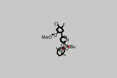 COCOc1cc(Cl)c(F)cc1-c1ccc(N(C)[C@H]2C[C@]3(C)CC[C@](C)(C2)N3C(=O)OC(C)(C)C)nn1